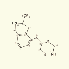 CC1Cc2c(cccc2NC2CCNCC2)CN1